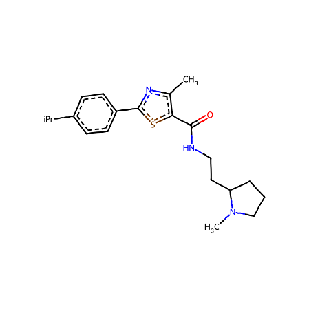 Cc1nc(-c2ccc(C(C)C)cc2)sc1C(=O)NCCC1CCCN1C